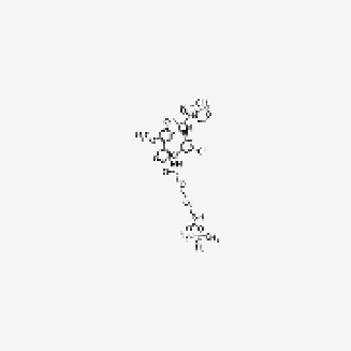 COc1cc2c(cc1-c1cncc(NC(=O)CCOCCOCCNC(=O)OC(C)(C)C)c1)-c1c(c(C(=O)N3CCOCC3(C)C)nn1-c1cc(Cl)cc(Cl)c1)CO2